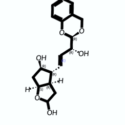 OC1C[C@@H]2[C@@H](/C=C/[C@@H](O)[C@@H]3OCc4ccccc4O3)[C@H](O)C[C@@H]2O1